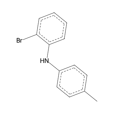 Cc1ccc(Nc2ccccc2Br)cc1